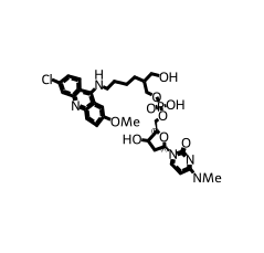 CNc1ccn([C@H]2CC(O)[C@@H](COP(=O)(O)OCC(CO)CCCCNc3c4ccc(Cl)cc4nc4ccc(OC)cc34)O2)c(=O)n1